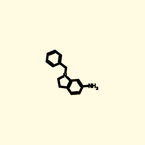 Nc1ccc2c(c1)N(Cc1ccccc1)CC2